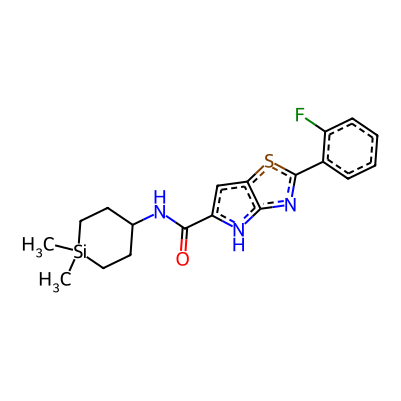 C[Si]1(C)CCC(NC(=O)c2cc3sc(-c4ccccc4F)nc3[nH]2)CC1